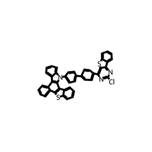 Clc1nc(-c2ccc(-c3ccc(-n4c5ccccc5c5c6ccccc6c6sc7ccccc7c6c54)cc3)cc2)c2sc3ccccc3c2n1